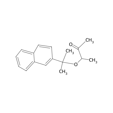 CC(=O)C(C)OC(C)(C)c1ccc2ccccc2c1